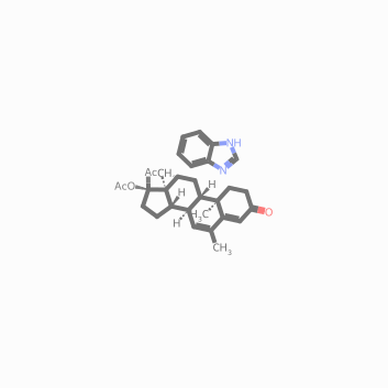 CC(=O)O[C@]1(C(C)=O)CC[C@H]2[C@@H]3C=C(C)C4=CC(=O)CC[C@]4(C)[C@H]3CC[C@@]21C.c1ccc2[nH]cnc2c1